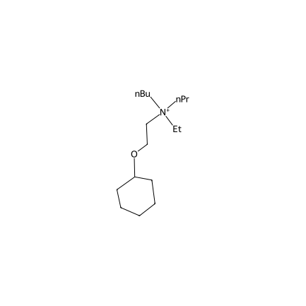 CCCC[N+](CC)(CCC)CCOC1CCCCC1